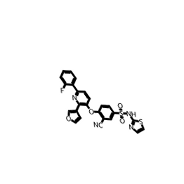 N#Cc1cc(S(=O)(=O)Nc2nccs2)ccc1Oc1ccc(-c2ccccc2F)nc1-c1ccoc1